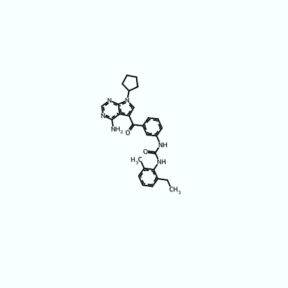 CCc1cccc(C)c1NC(=O)Nc1cccc(C(=O)c2cn(C3CCCC3)c3ncnc(N)c23)c1